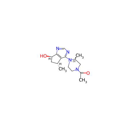 CC(=O)N1CCN(c2ncnc3c2[C@H](C)C[C@H]3O)[C@@H](C)C1